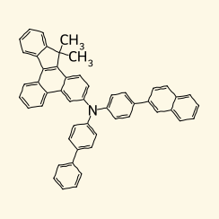 CC1(C)c2ccccc2-c2c1c1ccc(N(c3ccc(-c4ccccc4)cc3)c3ccc(-c4ccc5ccccc5c4)cc3)cc1c1ccccc21